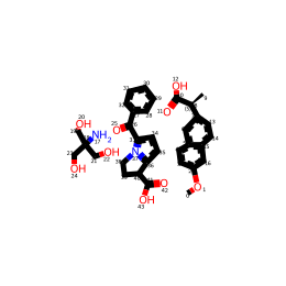 COc1ccc2cc([C@H](C)C(=O)O)ccc2c1.NC(CO)(CO)CO.O=C(c1ccccc1)c1ccc2n1CCC2C(=O)O